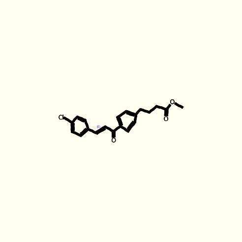 COC(=O)CCCc1ccc(C(=O)/C=C/c2ccc(Cl)cc2)cc1